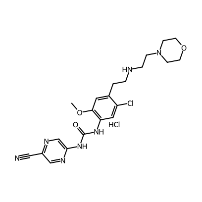 COc1cc(CCNCCN2CCOCC2)c(Cl)cc1NC(=O)Nc1cnc(C#N)cn1.Cl